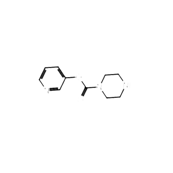 O=C(Oc1cccnc1)N1CCNCC1